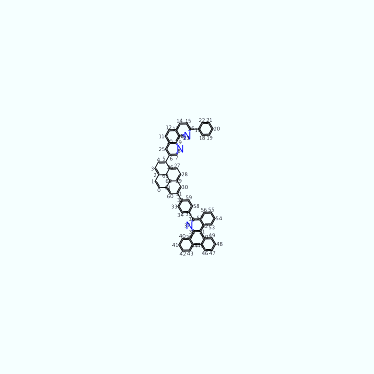 C1=CC2=CC=C(c3cnc4c(ccc5ccc(-c6ccccc6)nc54)c3)C3=CC=C4C=C(c5ccc(-c6nc7c8ccccc8c8ccccc8c7c7ccccc67)cc5)C=C1C4C23